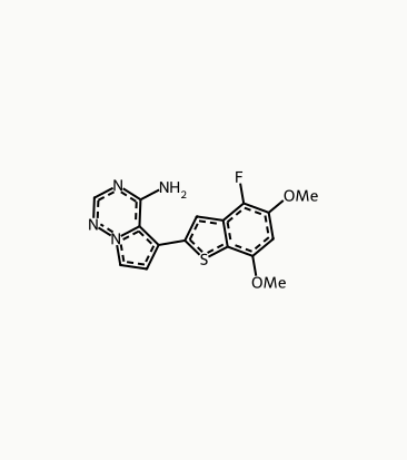 COc1cc(OC)c2sc(-c3ccn4ncnc(N)c34)cc2c1F